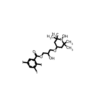 CC1(C)CC(OCC(O)COC(=O)c2cc(I)cc(I)c2I)CC(C)(C)N1O